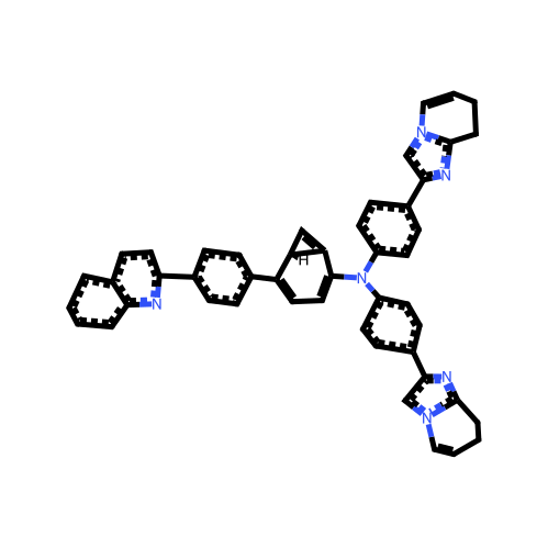 C1=Cn2cc(-c3ccc(N(C4=CC=C(c5ccc(-c6ccc7ccccc7n6)cc5)[C@@H]5C=C45)c4ccc(-c5cn6c(n5)CCC=C6)cc4)cc3)nc2CC1